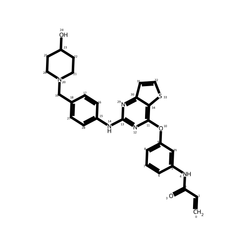 C=CC(=O)Nc1cccc(Oc2nc(Nc3ccc(CN4CCC(O)CC4)cc3)nc3ccsc23)c1